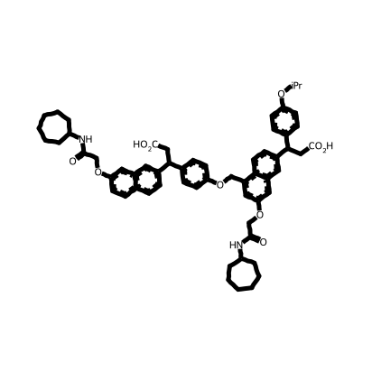 CC(C)Oc1ccc(C(CC(=O)O)c2ccc3c(COc4ccc(C(CC(=O)O)c5ccc6ccc(OCC(=O)NC7CCCCCC7)cc6c5)cc4)cc(OCC(=O)NC4CCCCCC4)cc3c2)cc1